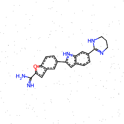 N=C(N)c1cc2cc(-c3cc4ccc(C5=NCCCN5)cc4[nH]3)ccc2o1